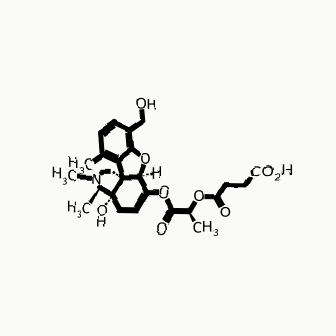 Cc1ccc(CO)c2c1[C@]13CCN(C)[C@H](C)[C@]1(O)CC=C(OC(=O)[C@H](C)OC(=O)CCC(=O)O)[C@@H]3O2